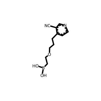 N#Cc1cnccc1CCCOCCB(O)O